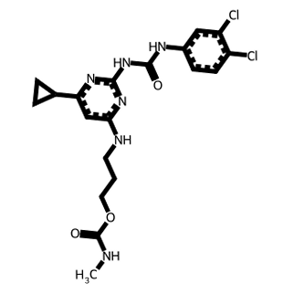 CNC(=O)OCCCNc1cc(C2CC2)nc(NC(=O)Nc2ccc(Cl)c(Cl)c2)n1